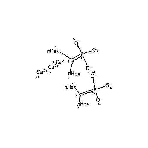 CCCCCCS(CCCCCC)=P([O-])([O-])[S-].CCCCCCS(CCCCCC)=P([O-])([O-])[S-].[Ca+2].[Ca+2].[Ca+2]